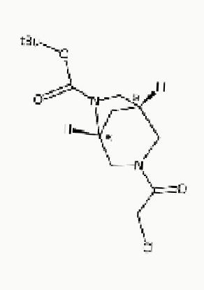 CC(C)(C)OC(=O)N1C[C@H]2C[C@@H]1CN(C(=O)CCl)C2